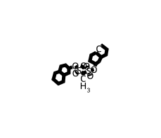 CC(S(=O)(=O)OC1CCC2CCCCC2C1)S(=O)(=O)OC1CCC2CCCCC2C1